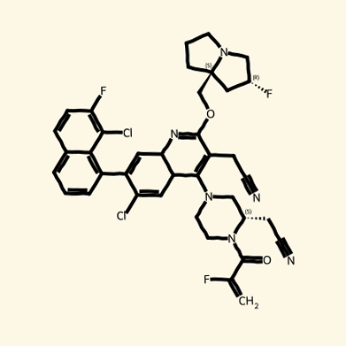 C=C(F)C(=O)N1CCN(C2=C(CC#N)C(OC[C@@]34CCCN3C[C@H](F)C4)=NC3C=C(c4cccc5ccc(F)c(Cl)c45)C(Cl)=CC23)C[C@@H]1CC#N